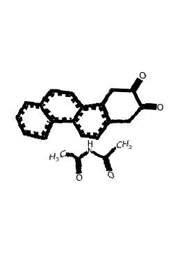 CC(=O)NC(C)=O.O=C1Cc2ccc3c(ccc4ccccc43)c2CC1=O